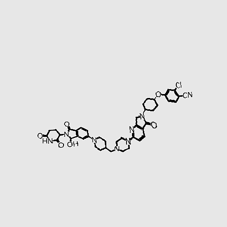 N#Cc1ccc(O[C@H]2CC[C@H](N3Cc4nc(N5CCN(CC6CCN(c7ccc8c(c7)C(O)N(C7CCC(=O)NC7=O)C8=O)CC6)CC5)ccc4C3=O)CC2)cc1Cl